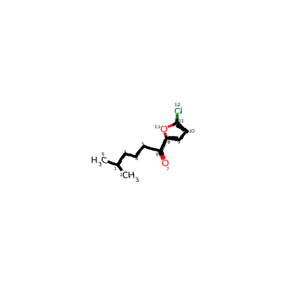 CC(C)CCCC(=O)c1ccc(Cl)o1